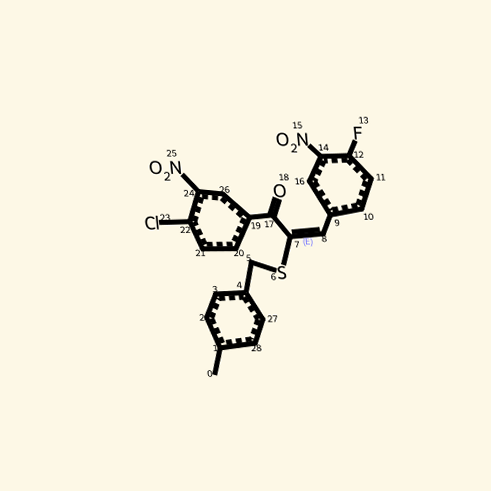 Cc1ccc(CS/C(=C/c2ccc(F)c([N+](=O)[O-])c2)C(=O)c2ccc(Cl)c([N+](=O)[O-])c2)cc1